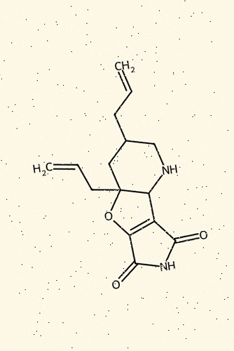 C=CCC1CNC2C3=C(OC2(CC=C)C1)C(=O)NC3=O